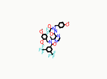 COc1ccc(CN2N=C(c3nccnc3C(C)N(Cc3ccc(OC)cc3OC)C(=O)c3cc(C(F)(F)F)cc(C(F)(F)F)c3)OC(F)(F)C2=O)cc1